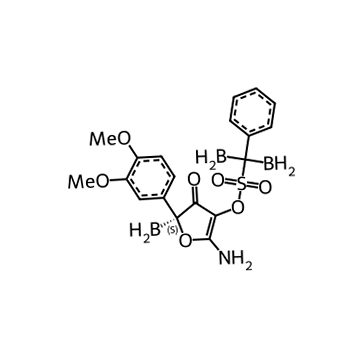 BC(B)(c1ccccc1)S(=O)(=O)OC1=C(N)O[C@@](B)(c2ccc(OC)c(OC)c2)C1=O